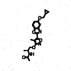 CC(=O)N[C@@H](C)COc1noc(-c2nc3cc(OCC4CC4)ccc3o2)c1C